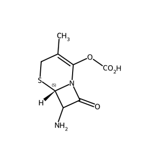 CC1=C(OC(=O)O)N2C(=O)C(N)[C@@H]2SC1